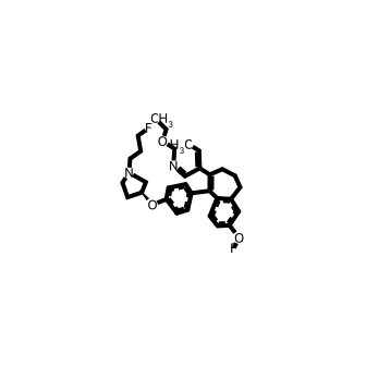 C/C=C(\C=N/COCC)C1=C(c2ccc(O[C@H]3CCN(CCCF)C3)cc2)c2ccc(OF)cc2CCC1